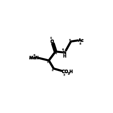 CNC(CC(=O)O)C(=O)NCC(C)=O